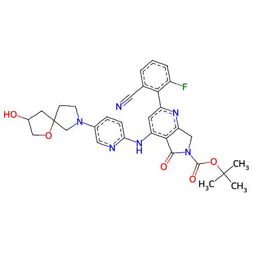 CC(C)(C)OC(=O)N1Cc2nc(-c3c(F)cccc3C#N)cc(Nc3ccc(N4CCC5(CC(O)CO5)C4)cn3)c2C1=O